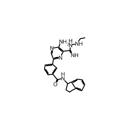 CCNNC(=N)c1nc(-c2cccc(C(=O)NC3CCc4ccccc43)c2)cnc1N